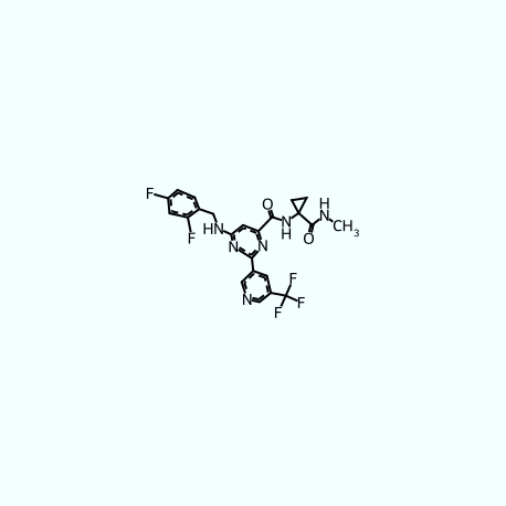 CNC(=O)C1(NC(=O)c2cc(NCc3ccc(F)cc3F)nc(-c3cncc(C(F)(F)F)c3)n2)CC1